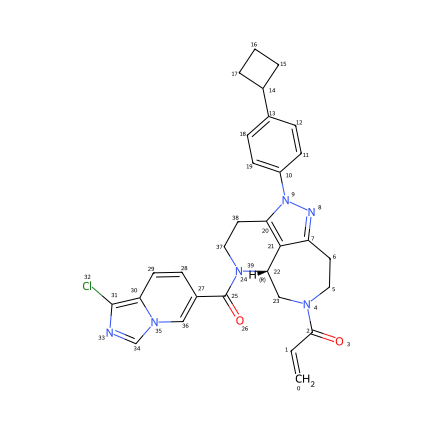 C=CC(=O)N1CCc2nn(-c3ccc(C4CCC4)cc3)c3c2[C@H](C1)N(C(=O)c1ccc2c(Cl)ncn2c1)CC3